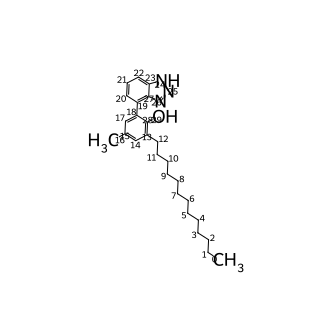 CCCCCCCCCCCCCc1cc(C)cc(-c2cccc3[nH]nnc23)c1O